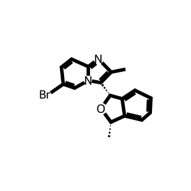 Cc1nc2ccc(Br)cn2c1[C@H]1O[C@@H](C)c2ccccc21